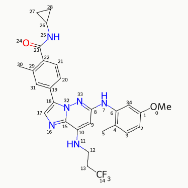 COc1ccc(C)c(Nc2cc(NCCC(F)(F)F)c3ncc(-c4ccc(C(=O)NC5CC5)c(C)c4)n3n2)c1